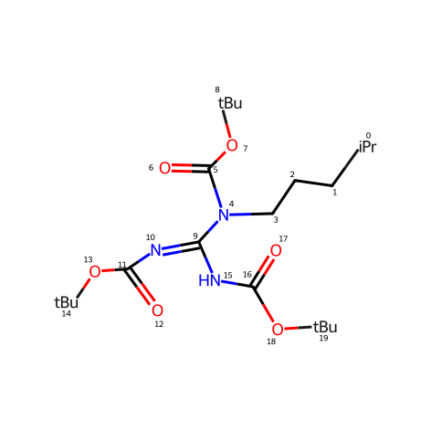 CC(C)CCCN(C(=O)OC(C)(C)C)/C(=N/C(=O)OC(C)(C)C)NC(=O)OC(C)(C)C